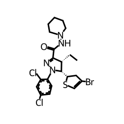 CC[C@H]1C(C(=O)NN2CCCCC2)=NN(c2ccc(Cl)cc2Cl)[C@H]1C1CC(Br)=CS1